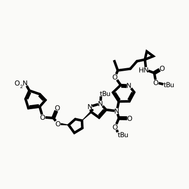 CC(CCC1(NC(=O)OC(C)(C)C)CC1)Oc1cc(N(C(=O)OC(C)(C)C)c2cc([C@H]3CC[C@@H](OC(=O)Oc4ccc([N+](=O)[O-])cc4)C3)nn2C(C)(C)C)ccn1